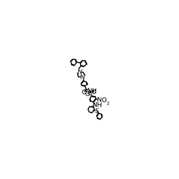 O=C(NS(=O)(=O)c1ccc(N[C@H]2CCCC[C@H]2Sc2ccccc2)c([N+](=O)[O-])c1)c1ccc(N2CCN(Cc3ccccc3-c3ccccc3)CC2)cc1